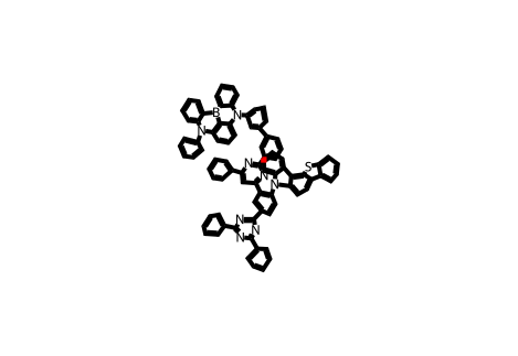 c1ccc(-c2cc(-c3cc(-c4nc(-c5ccccc5)nc(-c5ccccc5)n4)ccc3-n3c4ccccc4c4c5sc6ccccc6c5ccc43)nc(-c3cccc(-c4cccc(N5c6ccccc6B6c7ccccc7N(c7ccccc7)c7cccc5c76)c4)c3)n2)cc1